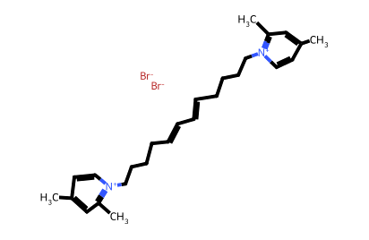 Cc1cc[n+](CCCCC=CC=CCCCC[n+]2ccc(C)cc2C)c(C)c1.[Br-].[Br-]